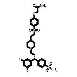 CS(=O)(=O)c1ccc([C@@H](CCN2CCC(CCS(=O)(=O)c3ccc(OCC(N)=O)cc3)CC2)c2cc(F)cc(F)c2)cc1